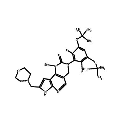 BC(B)(B)Oc1cc(OC(B)(B)B)c(F)c(N2Cc3cnc4[nH]c(CN5CCOCC5)cc4c3N(CC)C2=O)c1F